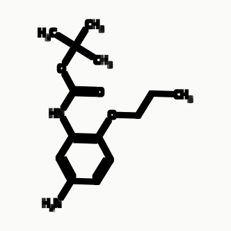 CCCOc1ccc(N)cc1NC(=O)OC(C)(C)C